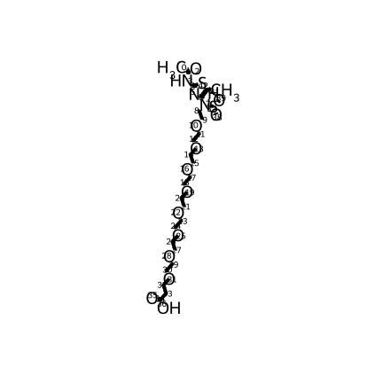 CC(=O)Nc1nc(N(CCOCCOCCOCCOCCOCCOCCOCCOCCC(=O)O)[SH](=O)=O)c(C)s1